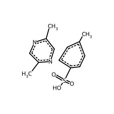 Cc1ccc(S(=O)(=O)O)cc1.Cc1cnc(C)cn1